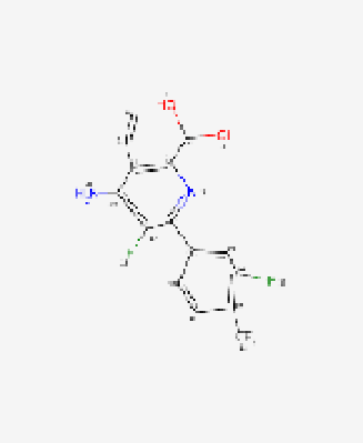 C=Cc1c(C(O)O)nc(-c2ccc(C(F)(F)F)c(F)c2)c(F)c1N